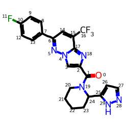 O=C(c1cn2nc(-c3ccc(F)cc3)cc(C(F)(F)F)c2n1)N1CCCCC1c1ccn[nH]1